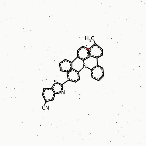 Cc1ccc(-c2ccccc2N(c2ccc(-c3nc4cc(C#N)ccc4s3)cc2)c2ccccc2-c2ccccc2)cc1